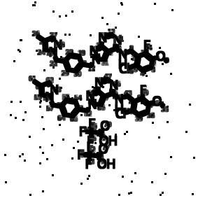 COc1ccc(Cl)c(CNc2ncnc3nn(Cc4ccc(Cn5cc(C)cn5)cc4)cc23)c1F.COc1ccc(Cl)c(CNc2ncnc3nn(Cc4ccc(Cn5cc(C)cn5)cc4)cc23)c1F.O=C(O)C(F)(F)F.O=C(O)C(F)(F)F